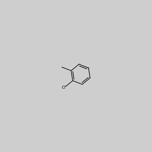 Cc1[c][c]ccc1Cl